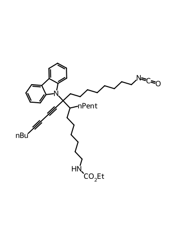 CCCCC#CC#CC(CCCCCCCCN=C=O)(C(CCCCC)CCCCCCNC(=O)OCC)n1c2ccccc2c2ccccc21